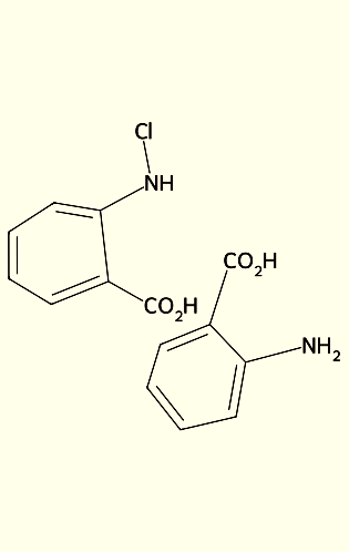 Nc1ccccc1C(=O)O.O=C(O)c1ccccc1NCl